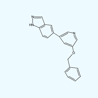 c1ccc(COc2cncc(-c3ccc4[nH]ncc4c3)c2)cc1